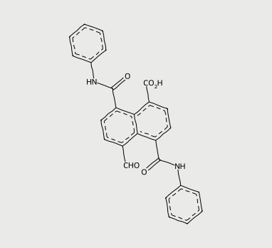 O=Cc1ccc(C(=O)Nc2ccccc2)c2c(C(=O)O)ccc(C(=O)Nc3ccccc3)c12